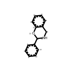 c1ccc(C2NCc3ccccc3O2)cc1